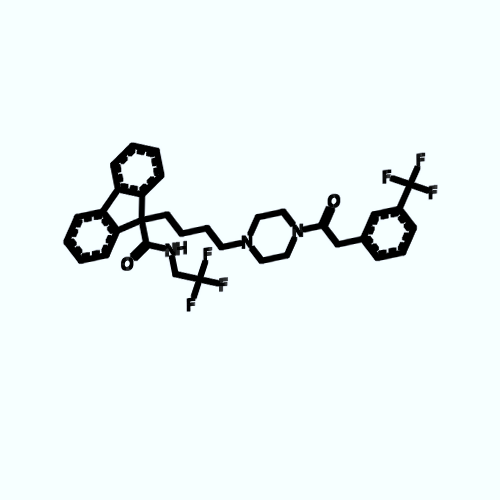 O=C(Cc1cccc(C(F)(F)F)c1)N1CCN(CCCCC2(C(=O)NCC(F)(F)F)c3ccccc3-c3ccccc32)CC1